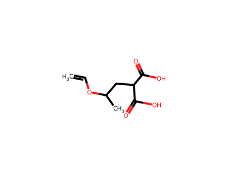 C=COC(C)CC(C(=O)O)C(=O)O